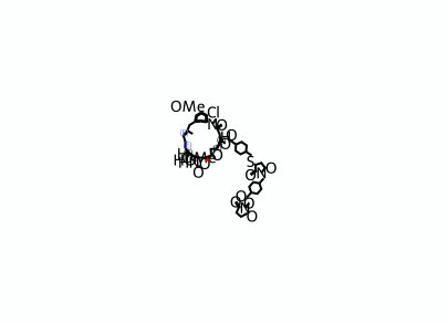 COc1cc2cc(c1Cl)N(C)C(=O)C[C@H](OC(=O)C1CCC(CSC3CC(=O)N(CC4CCC(C(=O)ON5C(=O)CCC5=O)CC4)C3=O)CC1)[C@@]1(C)CC(C)(O1)C1C[C@@](O)(NC(=O)O1)[C@H](OC)/C=C/C=C(\C)C2